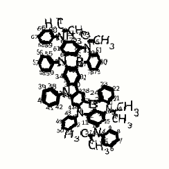 CC(C)N(c1ccccc1)c1cc2c3c(c1)N(C(C)C)c1ccccc1B3c1cc3c4cc5c(cc4n(-c4ccccc4)c3cc1N2c1ccccc1)N(c1ccccc1)c1cc(N(c2ccccc2)C(C)C)cc2c1B5c1ccccc1N2C(C)C